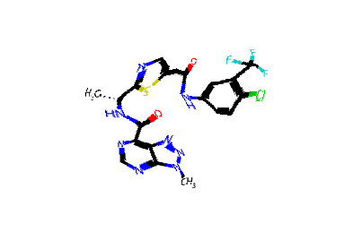 C[C@@H](NC(=O)c1ncnc2c1nnn2C)c1ncc(C(=O)Nc2ccc(Cl)c(C(F)(F)F)c2)s1